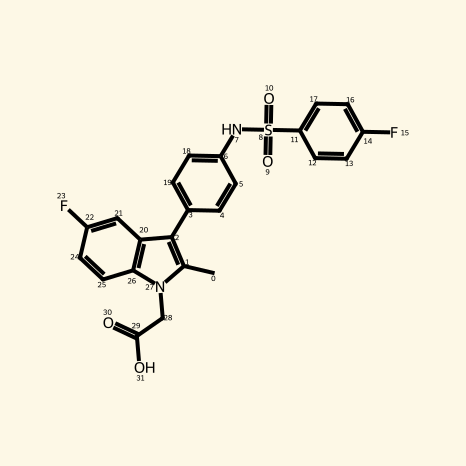 Cc1c(-c2ccc(NS(=O)(=O)c3ccc(F)cc3)cc2)c2cc(F)ccc2n1CC(=O)O